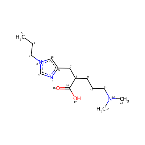 CCCn1cnc(CC(CCCN(C)C)C(=O)O)c1